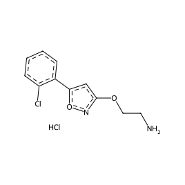 Cl.NCCOc1cc(-c2ccccc2Cl)on1